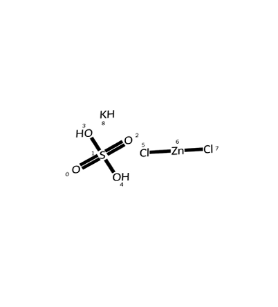 O=S(=O)(O)O.[Cl][Zn][Cl].[KH]